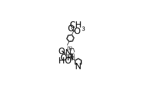 COC(=O)c1ccc(C[C@@H]2CC[C@H]([C@H](O)c3cccnc3)N2C(=O)O)cc1